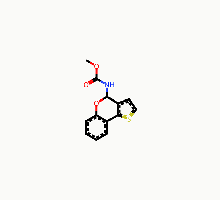 COC(=O)NC1Oc2ccccc2-c2sccc21